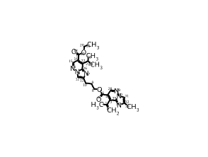 C=C(C)c1c(C(=O)OCCCc2cn3ncc(C(=O)OCC)c(C(C)C)c3n2)cnn2cc(C)nc12